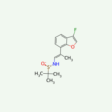 C/C(=C\N[S@+]([O-])C(C)(C)C)c1cccc2c(F)coc12